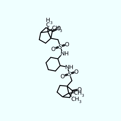 CC1(C)C2CCC1(CS(=O)(=O)NC1CCCCC1NS(=O)(=O)CC13CCC(CC1=O)C3(C)C)C(=O)C2